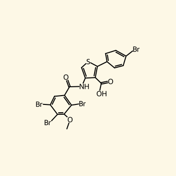 COc1c(Br)c(Br)cc(C(=O)Nc2csc(-c3ccc(Br)cc3)c2C(=O)O)c1Br